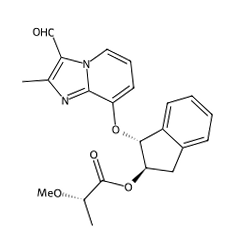 CO[C@@H](C)C(=O)O[C@@H]1Cc2ccccc2[C@H]1Oc1cccn2c(C=O)c(C)nc12